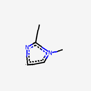 Cc1n[c]cn1C